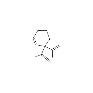 C=C(C)C1(C(=C)C)C=CCCC1